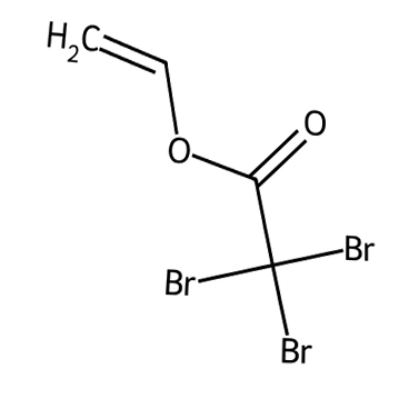 C=COC(=O)C(Br)(Br)Br